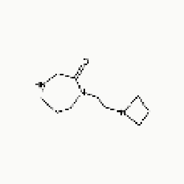 O=C1CNCCCN1CCN1CCC1